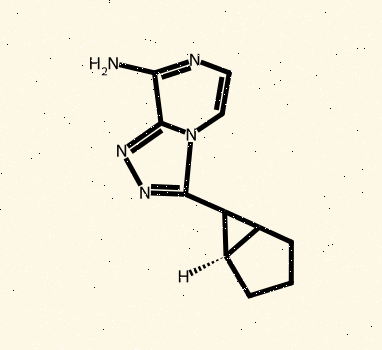 Nc1nccn2c(C3C4CCC[C@H]43)nnc12